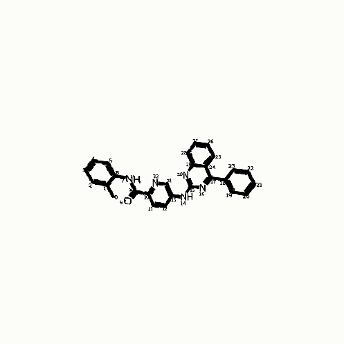 Cc1ccccc1NC(=O)c1ccc(Nc2nc(-c3ccccc3)c3ccccc3n2)cn1